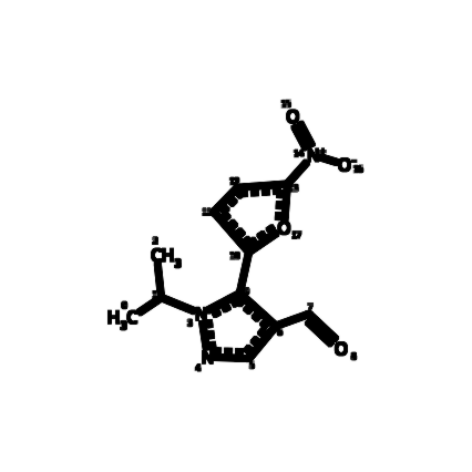 CC(C)n1ncc(C=O)c1-c1ccc([N+](=O)[O-])o1